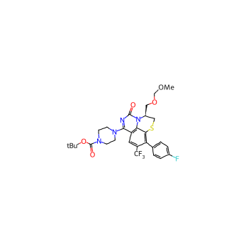 COCOC[C@H]1CSc2c(-c3ccc(F)cc3)c(C(F)(F)F)cc3c(N4CCN(C(=O)OC(C)(C)C)CC4)nc(=O)n1c23